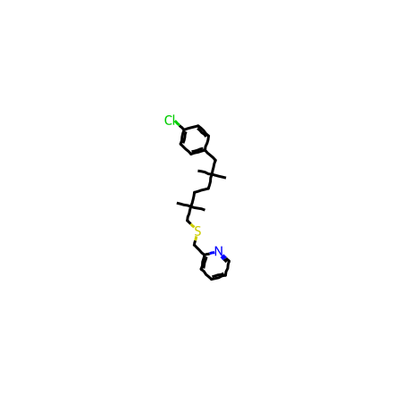 CC(C)(CCC(C)(C)Cc1ccc(Cl)cc1)CSCc1ccccn1